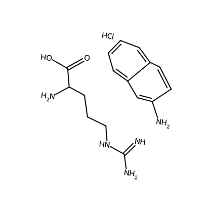 Cl.N=C(N)NCCCC(N)C(=O)O.Nc1ccc2ccccc2c1